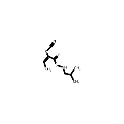 C/C=C(/SC#N)C(=O)SNCC(C)C